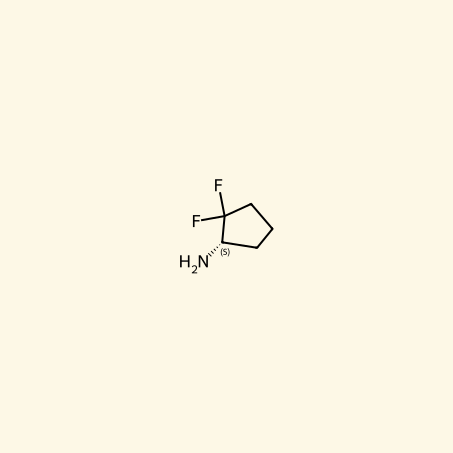 N[C@H]1CCCC1(F)F